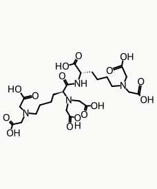 O=C(O)CN(CCCC[C@H](NC(=O)[C@H](CCCCN(CC(=O)O)CC(=O)O)N(CC(=O)O)CC(=O)O)C(=O)O)CC(=O)O